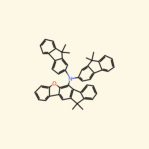 CC1(C)c2ccccc2-c2ccc(N(c3ccc4c(c3)C(C)(C)c3ccccc3-4)c3c4c(cc5c3oc3ccccc35)C(C)(C)c3ccccc3-4)cc21